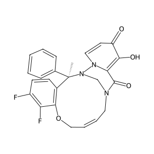 C[C@@]1(c2ccccc2)c2ccc(F)c(F)c2OC/C=C\CN2CN1n1ccc(=O)c(O)c1C2=O